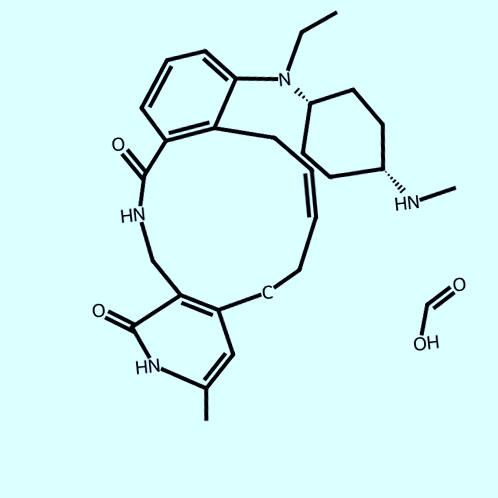 CCN(c1cccc2c1CC=CCCc1cc(C)[nH]c(=O)c1CNC2=O)[C@H]1CC[C@@H](NC)CC1.O=CO